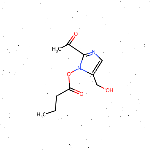 CCCC(=O)On1c(CO)cnc1C(C)=O